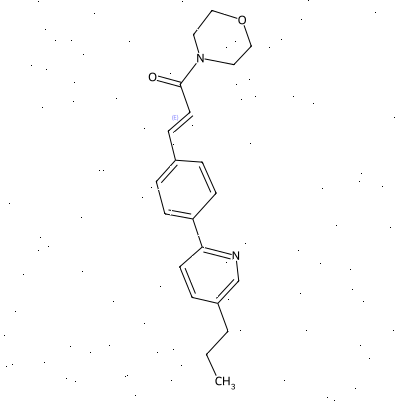 CCCc1ccc(-c2ccc(/C=C/C(=O)N3CCOCC3)cc2)nc1